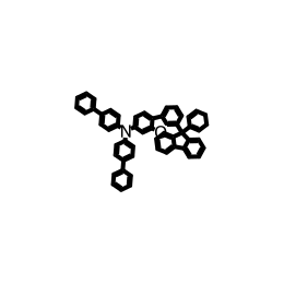 C1=CC(C2(c3cccc4c3oc3cc(N(c5ccc(-c6ccccc6)cc5)c5ccc(-c6ccccc6)cc5)ccc34)c3ccccc3-c3ccccc32)=CCC1